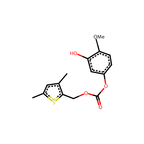 COc1ccc(OC(=O)OCc2sc(C)cc2C)cc1O